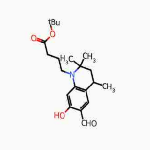 CC1CC(C)(C)N(CCCC(=O)OC(C)(C)C)c2cc(O)c(C=O)cc21